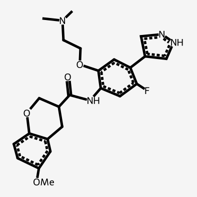 COc1ccc2c(c1)CC(C(=O)Nc1cc(F)c(-c3cn[nH]c3)cc1OCCN(C)C)CO2